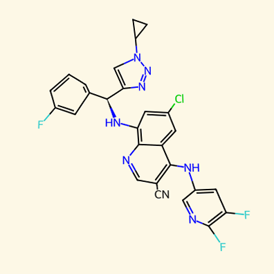 N#Cc1cnc2c(N[C@@H](c3cccc(F)c3)c3cn(C4CC4)nn3)cc(Cl)cc2c1Nc1cnc(F)c(F)c1